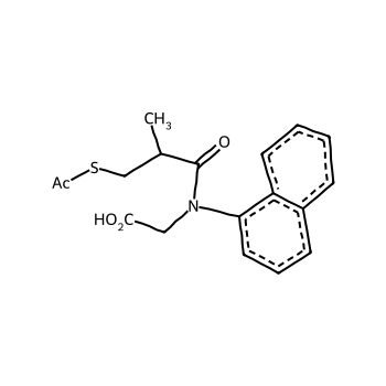 CC(=O)SCC(C)C(=O)N(CC(=O)O)c1cccc2ccccc12